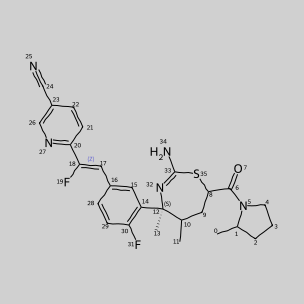 CC1CCCN1C(=O)C1CC(C)[C@@](C)(c2cc(/C=C(\F)c3ccc(C#N)cn3)ccc2F)N=C(N)S1